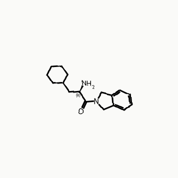 N[C@H](CC1CCCCC1)C(=O)N1Cc2ccccc2C1